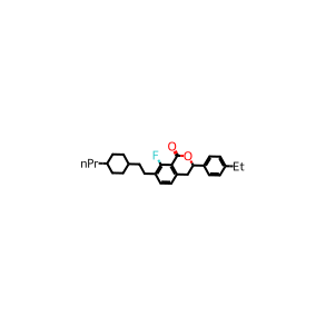 CCCC1CCC(CCc2ccc3c(c2F)C(=O)OC(c2ccc(CC)cc2)C3)CC1